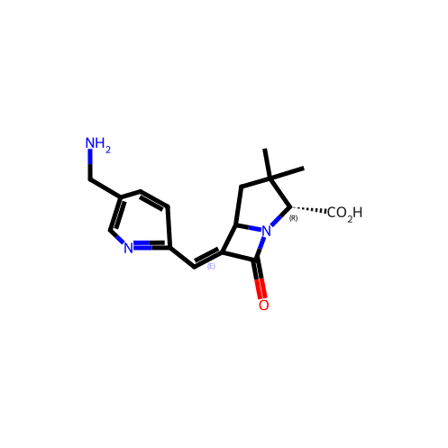 CC1(C)CC2/C(=C\c3ccc(CN)cn3)C(=O)N2[C@H]1C(=O)O